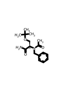 CC(=O)N(Cc1ccccc1)[C@H](COC(C)(C)C)C(N)=O